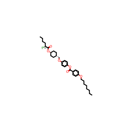 CCCCCCCCOc1ccc(C(=O)Oc2ccc(OC[C@H]3CC[C@H](OC(=O)[C@@H](F)CCCC)CC3)cc2)cc1